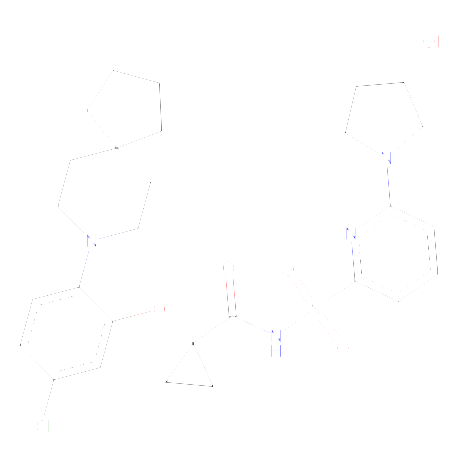 O=C(NS(=O)(=O)c1cccc(N2CC[C@H](O)C2)n1)C1(Oc2cc(Cl)ccc2N2CCC3(CCCC3)CC2)CC1